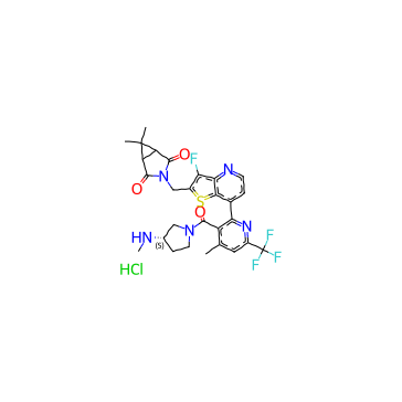 CN[C@H]1CCN(C(=O)c2c(C)cc(C(F)(F)F)nc2-c2ccnc3c(F)c(CN4C(=O)C5C(C4=O)C5(C)C)sc23)C1.Cl